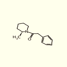 C[C@H]1CCCCN1C(=O)Cc1ccccc1